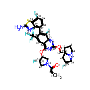 C=CC(=O)N1C[C@H](Oc2nc(OC[C@@]34CCCN3C[C@H](F)C4)nc3c(F)c(-c4ccc(F)c5sc(N)nc45)c(C(F)(F)F)cc23)[C@@H](F)C1